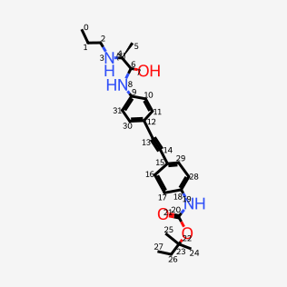 CCCN[C@@H](C)C(O)Nc1ccc(C#Cc2ccc(NC(=O)OC(C)(C)CC)cc2)cc1